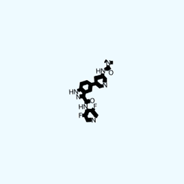 CN(C)C(=O)Nc1cncc(-c2ccc3[nH]nc(C(=O)Nc4c(F)cncc4F)c3c2)c1